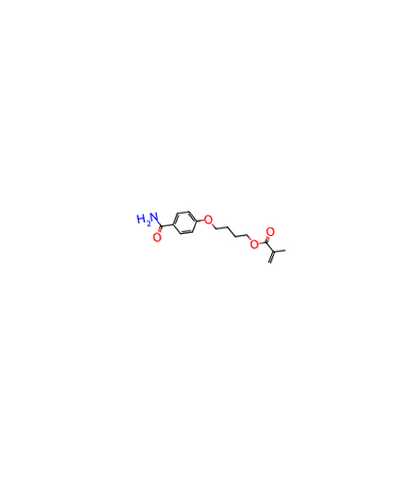 C=C(C)C(=O)OCCCCOc1ccc(C(N)=O)cc1